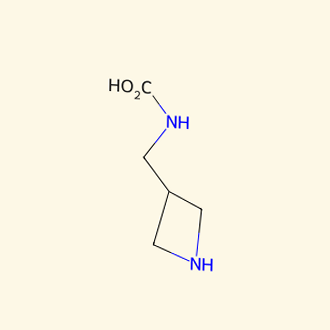 O=C(O)NCC1CNC1